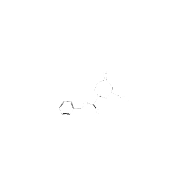 NC1CNCCN(C(=O)OCc2ccccc2)C1